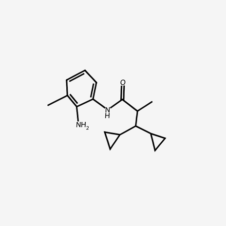 Cc1cccc(NC(=O)C(C)C(C2CC2)C2CC2)c1N